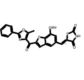 COc1cc(/C=C2\SC(=O)NC2=O)cc2cc(C(=O)c3nc(-c4ccccc4)oc3C)oc12